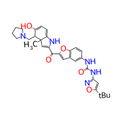 CC(C)(C)c1cc(NC(=O)Nc2ccc3oc(C(=O)C4=CC5(C)C(=CC=C(O)C5CN5CCCC5)N4)cc3c2)no1